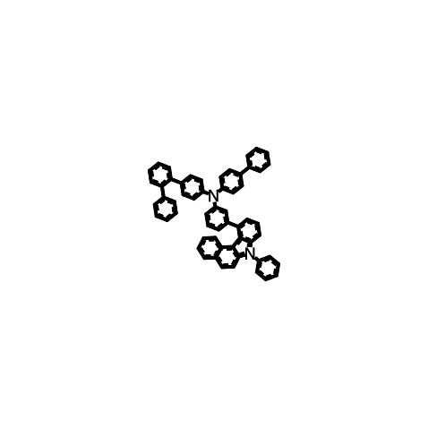 c1ccc(-c2ccc(N(c3ccc(-c4ccccc4-c4ccccc4)cc3)c3cccc(-c4cccc5c4c4c6ccccc6ccc4n5-c4ccccc4)c3)cc2)cc1